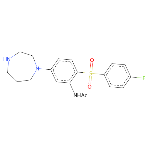 CC(=O)Nc1cc(N2CCCNCC2)ccc1S(=O)(=O)c1ccc(F)cc1